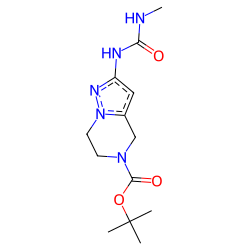 CNC(=O)Nc1cc2n(n1)CCN(C(=O)OC(C)(C)C)C2